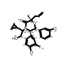 C=CC[C@]1(C)O[C@H](c2cccc(Cl)c2)[C@@H](c2ccc(Cl)c(F)c2)N(C(CO)C2CC2)C1=O